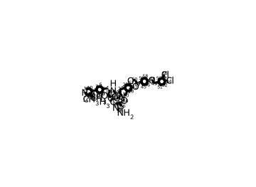 COC(=O)[C@H](Cc1ccc(-c2ccnc(C)c2C)cc1)NC(=O)[C@@H]1Cc2cc3c(cc2CN1S(=O)(=O)c1sc(N)nc1C)O[C@@H](c1ccc(OCc2ccc(Cl)c(Cl)c2)cc1)CO3